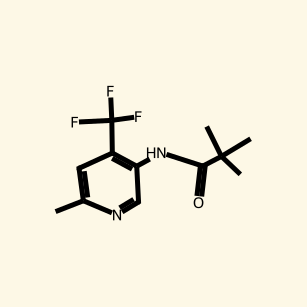 Cc1cc(C(F)(F)F)c(NC(=O)C(C)(C)C)cn1